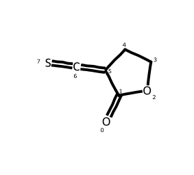 O=C1OCCC1=C=S